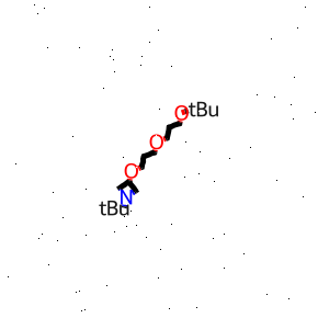 CC(C)(C)OCCCOCCCOC1CN(C(C)(C)C)C1